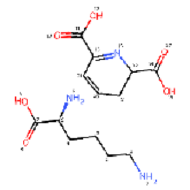 NCCCC[C@H](N)C(=O)O.O=C(O)C1=NC(C(=O)O)CC=C1